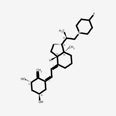 C=C1/C(=C\C=C2/CCC[C@]3(C)[C@@H]([C@@H](C)CN4CCC(F)CC4)CC[C@@H]23)C[C@@H](O)C[C@@H]1O